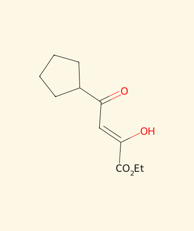 CCOC(=O)C(O)=CC(=O)C1CCCC1